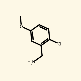 COc1ccc(Cl)c(CN)c1